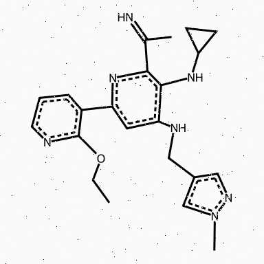 CCOc1ncccc1-c1cc(NCc2cnn(C)c2)c(NC2CC2)c(C(C)=N)n1